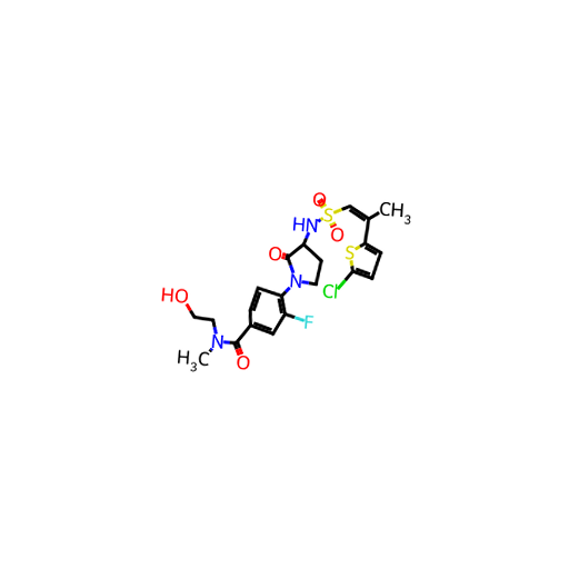 CC(=CS(=O)(=O)NC1CCN(c2ccc(C(=O)N(C)CCO)cc2F)C1=O)c1ccc(Cl)s1